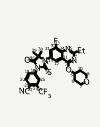 CCc1nc(OC2CCOCC2)c2cc(N3C(=S)N(c4ccc(C#N)c(C(F)(F)F)c4)C(=O)C3(C)C)cc(F)c2n1